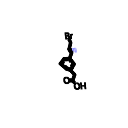 O=C(O)Cc1cccc(/C=C/CBr)c1